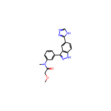 COCC(=O)N(C)c1cccc(-c2n[nH]c3ccc(-c4nnc[nH]4)cc23)c1